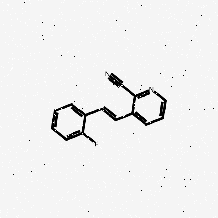 N#Cc1ncccc1C=Cc1ccccc1F